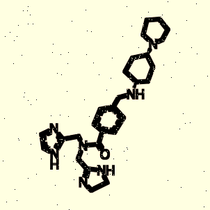 O=C(c1ccc(CN[C@H]2CC[C@H](N3CCCCC3)CC2)cc1)N(CC1=NCCN1)Cc1ncc[nH]1